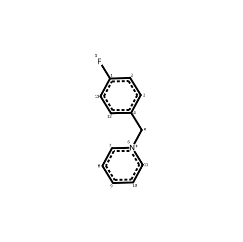 Fc1ccc(C[n+]2ccccc2)cc1